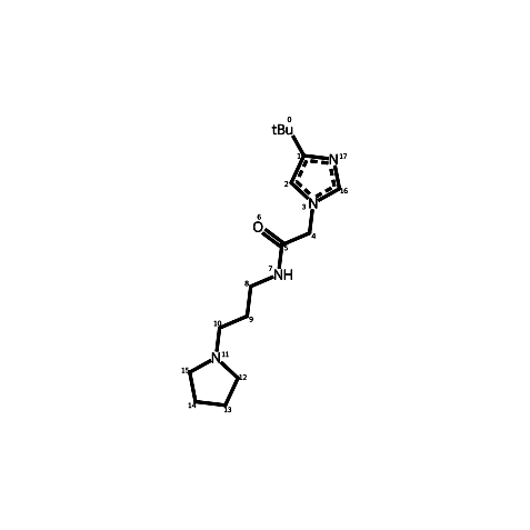 CC(C)(C)c1cn(CC(=O)NCCCN2CCCC2)cn1